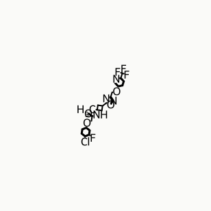 CC1(NC(=O)COc2ccc(Cl)c(F)c2)CC(c2nc(COc3ccc(C(F)(F)F)nc3)no2)C1